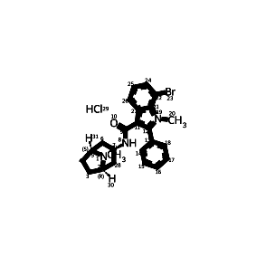 CN1[C@@H]2CC[C@H]1C[C@@H](NC(=O)c1c(-c3ccccc3)n(C)c3c(Br)cccc13)C2.Cl